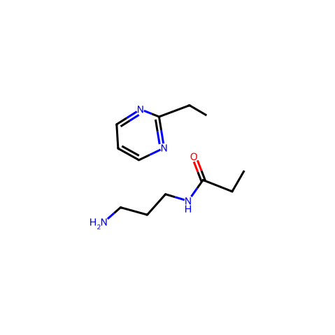 CCC(=O)NCCCN.CCc1ncccn1